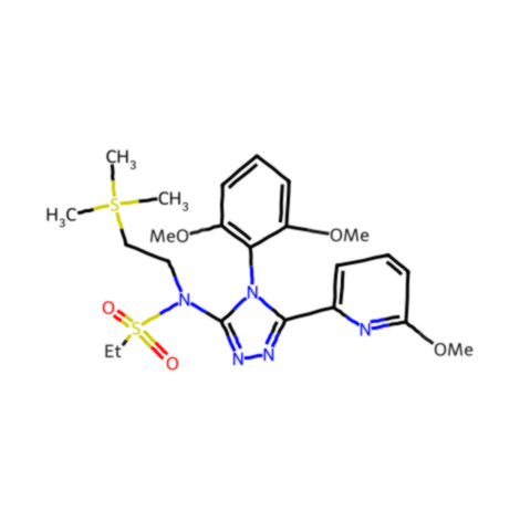 CCS(=O)(=O)N(CCS(C)(C)C)c1nnc(-c2cccc(OC)n2)n1-c1c(OC)cccc1OC